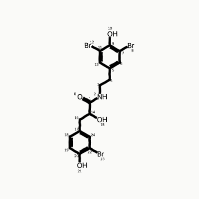 O=C(NCCc1cc(Br)c(O)c(Br)c1)C(O)Cc1ccc(O)c(Br)c1